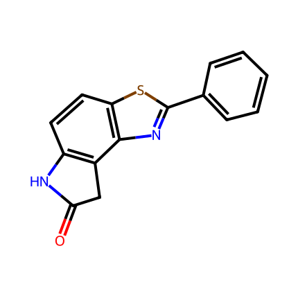 O=C1Cc2c(ccc3sc(-c4ccccc4)nc23)N1